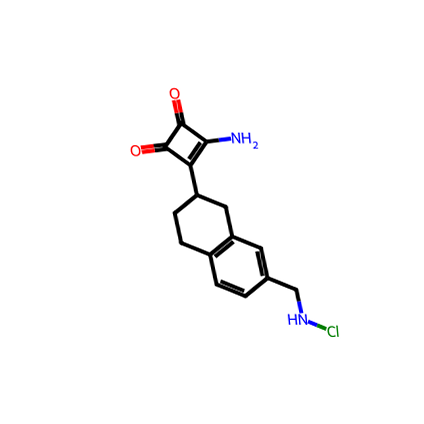 Nc1c(C2CCc3ccc(CNCl)cc3C2)c(=O)c1=O